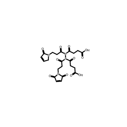 O=C(O)CCC(=O)N(C(=O)CCN1CC=CC1=O)N(C(=O)CCC(=O)O)C(=O)CCN1C(=O)C=CC1=O